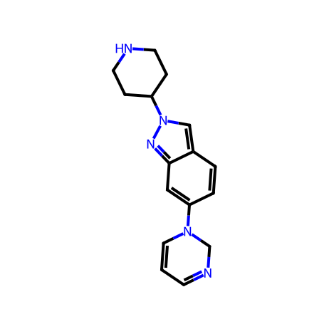 C1=CN(c2ccc3cn(C4CCNCC4)nc3c2)CN=C1